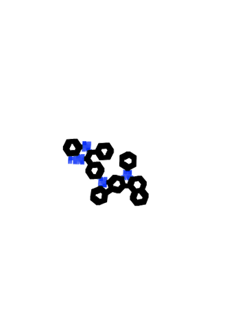 C1=CCCC(N2C3=C(c4ccccc4CC3)C3C=c4c(n(C5=CC=C(C6Nc7ccccc7N=C6c6ccccc6)CC5)c5ccccc45)=CC32)=C1